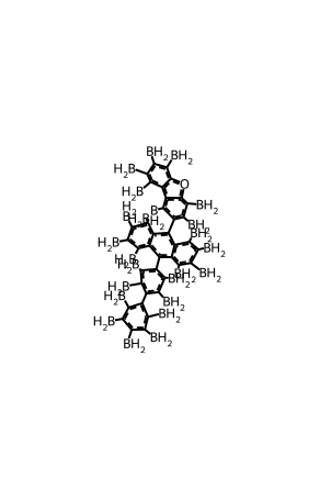 Bc1c(B)c(B)c(-c2c(B)c(B)c(-c3c4c(B)c(B)c(B)c(B)c4c(-c4c(B)c(B)c5oc6c(B)c(B)c(B)c(B)c6c5c4B)c4c(B)c(B)c(B)c(B)c34)c(B)c2B)c(B)c1B